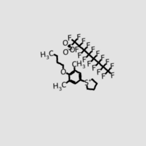 CCCCOc1c(C)cc([S+]2CCCC2)cc1C.O=S(=O)([O-])C(F)(F)C(F)(F)C(F)(F)C(F)(F)C(F)(F)C(F)(F)C(F)(F)C(F)(F)F